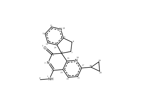 CNC1=NC(=O)C2(CCc3ncccc32)c2nc(C3CC3)ccc21